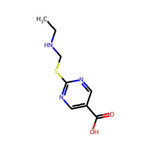 CCNCSc1ncc(C(=O)O)cn1